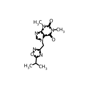 CC(C)c1nc(Cn2cnc3c2c(=O)n(C)c(=O)n3C)no1